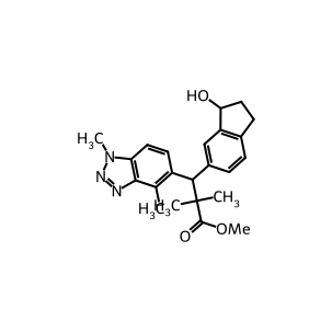 COC(=O)C(C)(C)C(c1ccc2c(c1)C(O)CC2)c1ccc2c(nnn2C)c1C